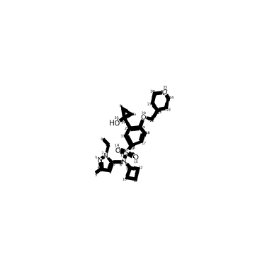 CCn1nc(C)cc1N(C1CCC1)S(=O)(=O)c1ccc(OCC2CCOCC2)c(C2(O)CC2)c1